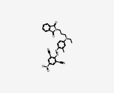 CCN(CCCN1C(=O)c2ccccc2C1=O)c1ccc(/N=N/c2c(C#N)cc([N+](=O)[O-])cc2C#N)c(C)c1